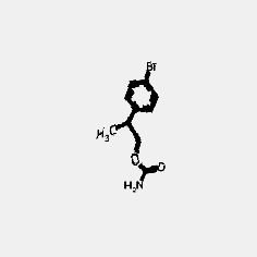 CC(COC(N)=O)c1ccc(Br)cc1